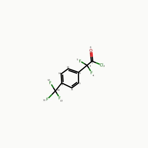 O=C(Cl)C(F)(F)c1ccc(C(F)(F)F)cc1